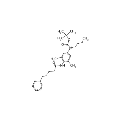 CCCCN(C(=O)OC(C)(C)C)c1cc(C)c(NC(=O)C[CH]CCc2ccccc2)c(C)c1